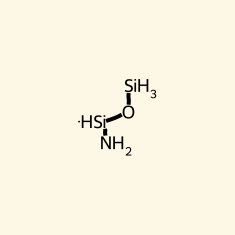 N[SiH]O[SiH3]